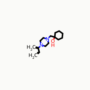 C=CC(=C)N1CCN(CC2(O)CCCCC2)CC1